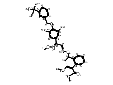 COC=C(C(=O)OC)c1ccccc1C(C)ON=CC(=NOC)c1cc(F)c(OCc2cccc(C(F)(F)F)c2)c(F)c1